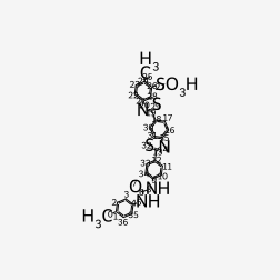 Cc1ccc(NC(=O)Nc2ccc(-c3nc4ccc(-c5nc6ccc(C)c(S(=O)(=O)O)c6s5)cc4s3)cc2)cc1